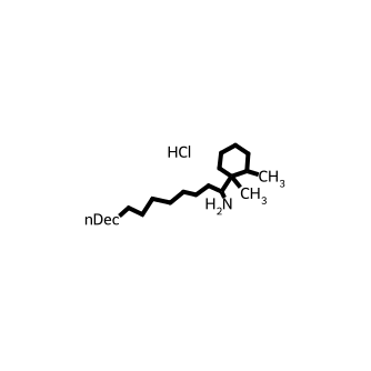 CCCCCCCCCCCCCCCCCC(N)C1(C)CCCCC1C.Cl